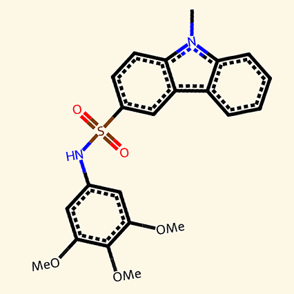 COc1cc(NS(=O)(=O)c2ccc3c(c2)c2ccccc2n3C)cc(OC)c1OC